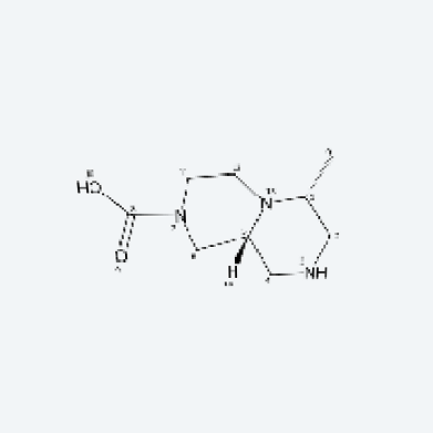 C[C@@H]1CNC[C@@H]2CN(C(=O)O)CCN21